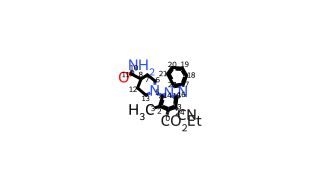 CCOC(=O)c1c(C)c(N2CCC(C(N)=O)CC2)n2c(nc3ccccc32)c1C#N